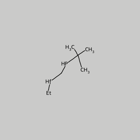 C[CH2][Hf][CH2]PC(C)(C)C